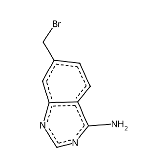 Nc1ncnc2cc(CBr)ccc12